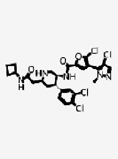 Cn1ncc(Cl)c1-c1cc(C(=O)N[C@@H]2CNC(CC(=O)NC3CCC3)C[C@H]2c2ccc(Cl)c(Cl)c2)oc1Cl